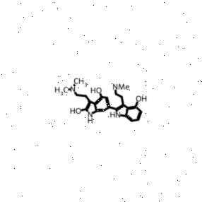 CNCCc1c(-c2cc(O)c3c(CCN(C)C)c(O)[nH]c3c2)[nH]c2cccc(O)c12